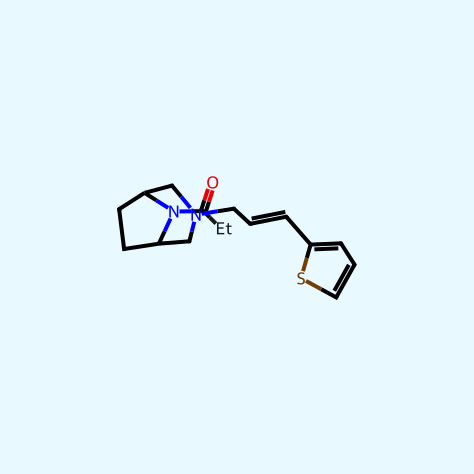 CCC(=O)N1C2CCC1CN(CC=Cc1cccs1)C2